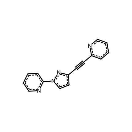 C(#Cc1ccn(-c2ccccn2)n1)c1ccccn1